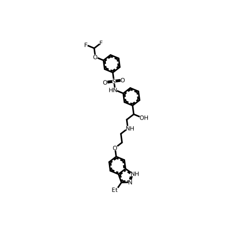 CCc1n[nH]c2cc(OCCNCC(O)c3cccc(NS(=O)(=O)c4cccc(OC(F)F)c4)c3)ccc12